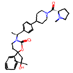 C[C@@H](c1ccc(C2CCN(C(=O)[C@@H]3CCCN3C)CC2)cc1)N1CCC(CC(C)(C)O)(c2ccccc2)OC1=O